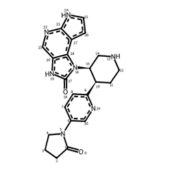 O=C1CCCN1c1ccc([C@@H]2CCNC[C@@H]2n2c(=O)[nH]c3cnc4[nH]ccc4c32)nc1